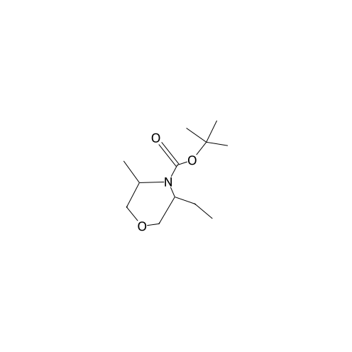 CCC1COCC(C)N1C(=O)OC(C)(C)C